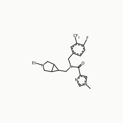 CCN1CC2C(C1)C2CN(Cc1ccc(F)c(C(F)(F)F)c1)C(=O)c1cn(C)cn1